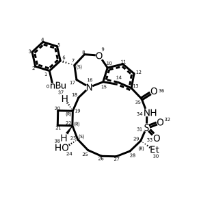 CCCCc1ccccc1[C@@H]1COc2ccc3cc2N(C1)C[C@@H]1CC[C@H]1[C@@H](O)CCCC[C@@H](CC)S(=O)(=O)NC3=O